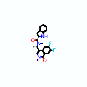 C[C@H](c1cn(C)c(=O)c2cc(F)c(F)cc12)N(C)C(=O)[C@@H]1Cc2ccccc2N1